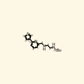 CC(C)(C)NCCNCc1cccc(-c2ccsc2)n1